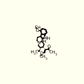 C=C[C@H]1CN2CCc3c([nH]c4cccc(OC)c34)[C@@H]2C[C@@H]1/C(=C\OC)C(C)=O